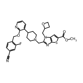 COC(=O)c1cc2c(nc(CN3CCC(c4cccnc4OCc4ccc(C#N)cc4F)CC3)n2CC2CCO2)s1